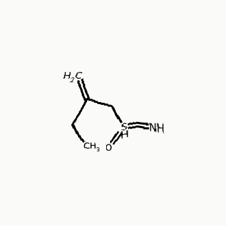 C=C(CC)C[SH](=N)=O